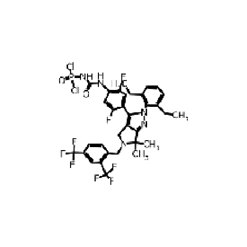 CCc1cccc(CC)c1-n1nc2c(c1-c1cc(F)c(NC(=O)NP(=O)(Cl)Cl)cc1F)CN(Cc1ccc(C(F)(F)F)cc1C(F)(F)F)C2(C)C